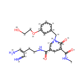 CNC(=O)c1cc(C(=O)NCC/C(C=N)=C/N)cn(Cc2cccc(OCCO)c2)c1=O